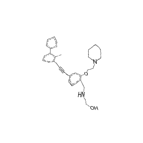 Cc1c(C#Cc2ccc(CNCCO)c(OCCN3CCCCC3)c2)cccc1-c1ccccc1